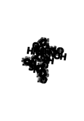 C=C[C@@H]1C[C@]1(NC(=O)[C@@H]1C[C@@H](Oc2cc(-c3nc4c(s3)CCC4)nc3cc(OC)ccc23)CN1C(=O)[C@@H](NC(=O)OC1CCCC1)C(C)C)C(=O)O